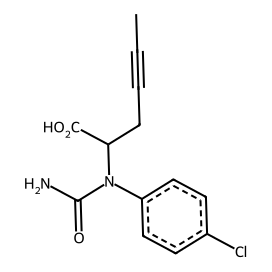 CC#CCC(C(=O)O)N(C(N)=O)c1ccc(Cl)cc1